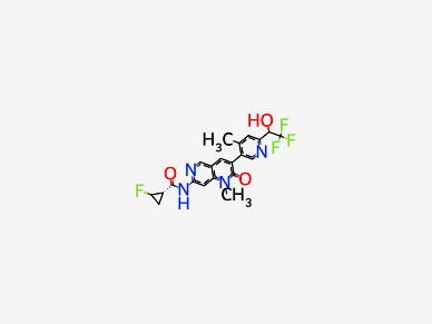 Cc1cc([C@@H](O)C(F)(F)F)ncc1-c1cc2cnc(NC(=O)[C@@H]3C[C@H]3F)cc2n(C)c1=O